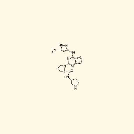 O=C(NC1CCNC1)[C@@H]1CCCN1c1nc(Nc2cc(C3CC3)[nH]n2)c2cccn2n1